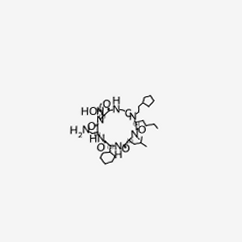 CCCC[C@H]1C(=O)N(C)[C@@H](CC(C)C)C(=O)N[C@@H](C2CCCCC2)C(=O)N[C@@H](CN)C(=O)N[C@@H]([C@H](C)O)C(=O)NCCN1CCC1CCCC1